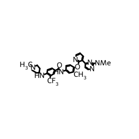 CNc1nccc(-c2cccnc2Oc2ccc(NC(=O)c3ccc(NC4CCN(C)CC4)c(C(F)(F)F)c3)cc2C)n1